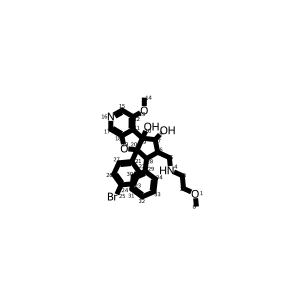 COCCNCC1C(O)C2(O)c3c(OC)cncc3OC2(c2ccc(Br)cc2)C1c1ccccc1